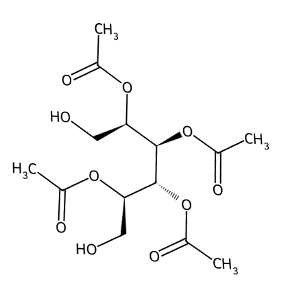 CC(=O)O[C@@H]([C@H](OC(C)=O)[C@@H](CO)OC(C)=O)[C@@H](CO)OC(C)=O